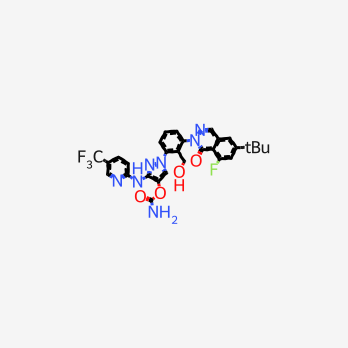 CC(C)(C)c1cc(F)c2c(=O)n(-c3cccc(-n4cc(OC(N)=O)c(Nc5ccc(C(F)(F)F)cn5)n4)c3CO)ncc2c1